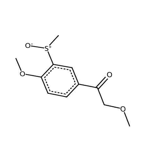 COCC(=O)c1ccc(OC)c([S+](C)[O-])c1